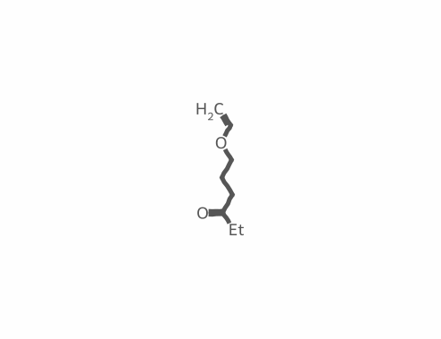 C=COCCCC(=O)CC